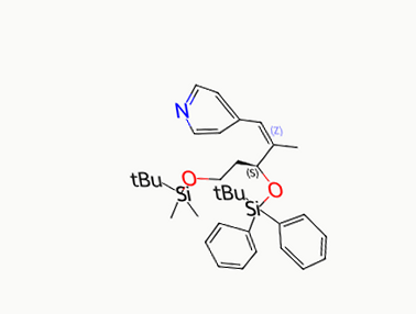 C/C(=C/c1ccncc1)[C@H](CCO[Si](C)(C)C(C)(C)C)O[Si](c1ccccc1)(c1ccccc1)C(C)(C)C